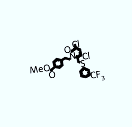 COC(=O)c1ccc(CCn2c(CSc3cccc(C(F)(F)F)c3)c(Cl)cc(Cl)c2=O)cc1